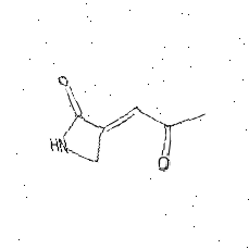 CC(=O)C=C1CNC1=O